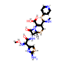 CNC(Sc1ccncc1)C1=C(C(=O)O)N2C(=O)[C@@H](NC(=O)/C(=N\OC)c3csc(N)n3)[C@H]2SC1